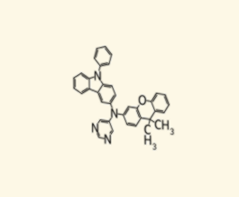 CC1(C)c2ccccc2Oc2cc(N(c3cncnc3)c3ccc4c(c3)c3ccccc3n4-c3ccccc3)ccc21